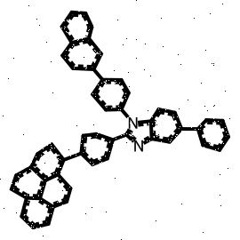 c1ccc(-c2ccc3c(c2)nc(-c2ccc(-c4ccc5ccc6cccc7ccc4c5c67)cc2)n3-c2ccc(-c3ccc4ccccc4c3)cc2)cc1